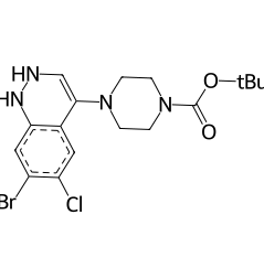 CC(C)(C)OC(=O)N1CCN(C2=CNNc3cc(Br)c(Cl)cc32)CC1